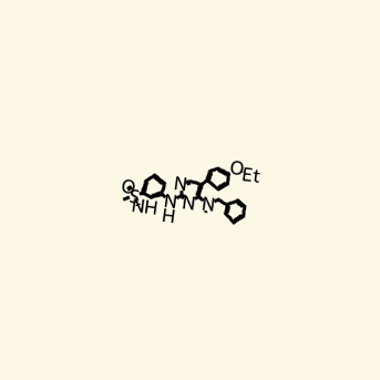 CCOc1ccc(-c2cnc(Nc3cccc(S(C)(=N)=O)c3)nc2N(C)Cc2ccccc2)cc1